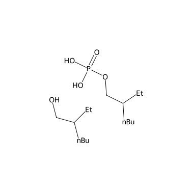 CCCCC(CC)CO.CCCCC(CC)COP(=O)(O)O